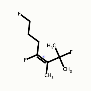 C/C(=C(\F)CCCF)C(C)(C)F